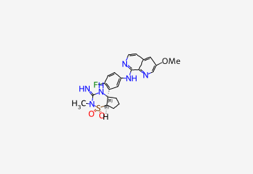 COc1cnc2c(Nc3ccc(F)c([C@]45CCC[C@H]4S(=O)(=O)N(C)C(=N)N5)c3)nccc2c1